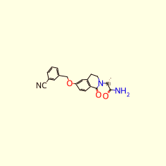 C[C@H](C(N)=O)N1CCc2cc(OCc3cccc(C#N)c3)ccc2C1=O